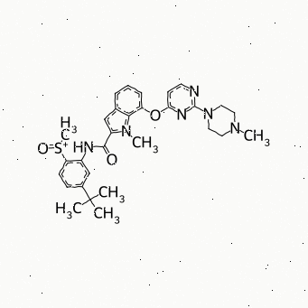 CN1CCN(c2nccc(Oc3cccc4cc(C(=O)Nc5cc(C(C)(C)C)ccc5[S+](C)[O-])n(C)c34)n2)CC1